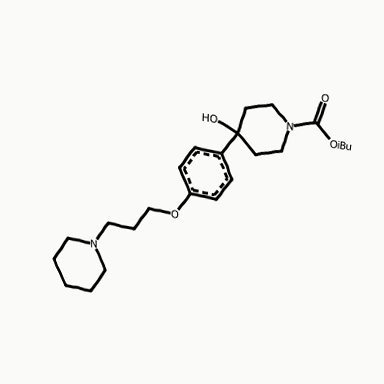 CC(C)COC(=O)N1CCC(O)(c2ccc(OCCCN3CCCCC3)cc2)CC1